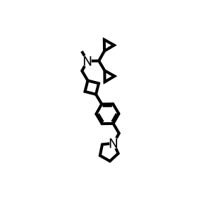 CN(CC1CC(c2ccc(CN3CCCC3)cc2)C1)C(C1CC1)C1CC1